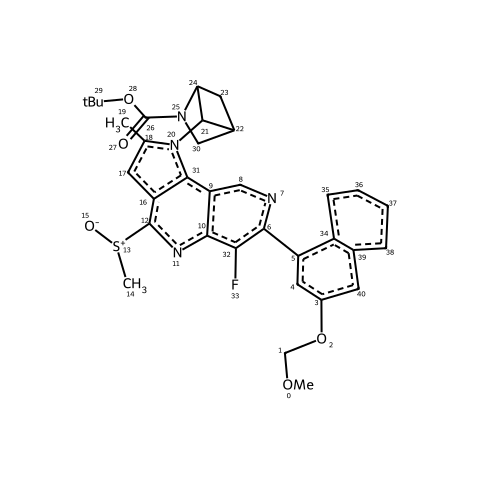 COCOc1cc(-c2ncc3c(nc([S+](C)[O-])c4cc(C)n(C5C6CC5N(C(=O)OC(C)(C)C)C6)c43)c2F)c2ccccc2c1